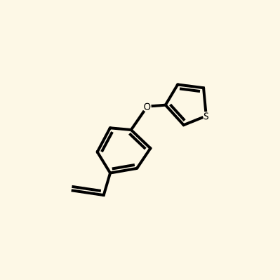 C=Cc1ccc(Oc2ccsc2)cc1